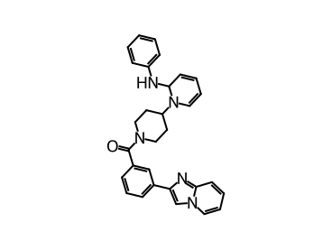 O=C(c1cccc(-c2cn3ccccc3n2)c1)N1CCC(N2C=CC=CC2Nc2ccccc2)CC1